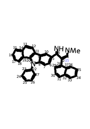 CN/C=C(\C(=N)c1ccc2c(c1)c1ccc3ccccc3c1n2-c1ccccc1)c1cccc2ccccc12